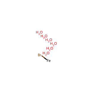 O.O.O.O.O.O.[Fe][Br]